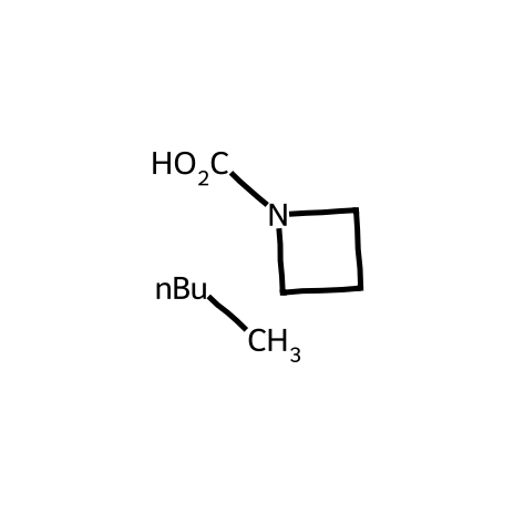 CCCCC.O=C(O)N1CCC1